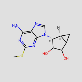 CSc1nc(N)c2ncn([C@H]3C(O)C(O)C4C[C@@H]43)c2n1